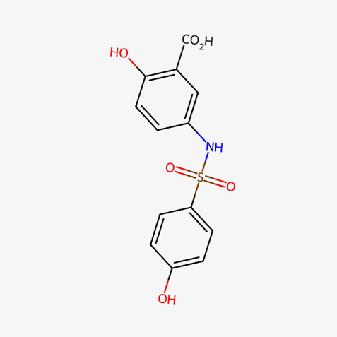 O=C(O)c1cc(NS(=O)(=O)c2ccc(O)cc2)ccc1O